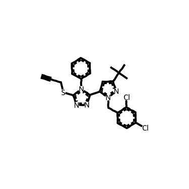 C#CCSc1nnc(-c2cc(C(C)(C)C)nn2Cc2ccc(Cl)cc2Cl)n1-c1ccccc1